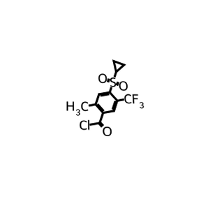 Cc1cc(S(=O)(=O)C2CC2)c(C(F)(F)F)cc1C(=O)Cl